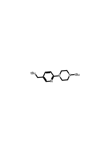 CC(C)(C)Cc1ccc(N2CCN(C(C)(C)C)CC2)nc1